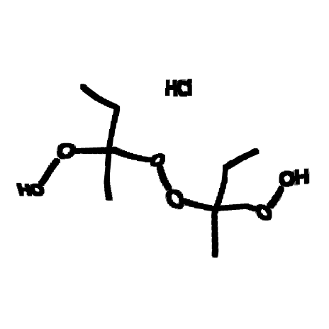 CCC(C)(OO)OOC(C)(CC)OO.Cl